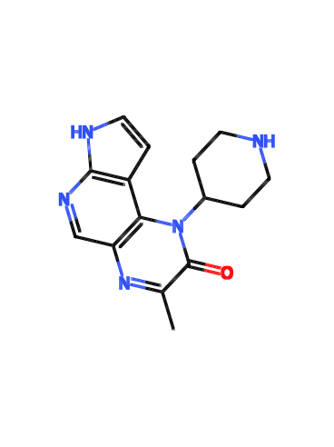 Cc1nc2cnc3[nH]ccc3c2n(C2CCNCC2)c1=O